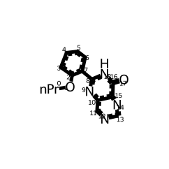 CCCOc1ccccc1-c1nc2cncnc2c(=O)[nH]1